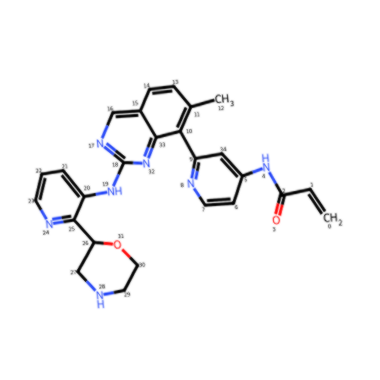 C=CC(=O)Nc1ccnc(-c2c(C)ccc3cnc(Nc4cccnc4C4CNCCO4)nc23)c1